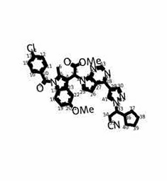 COC(=O)C(c1c(C)n(C(=O)c2ccc(Cl)cc2)c2ccc(OC)cc12)n1ccc2c(-c3cnn(C(CC#N)C4CCCC4)c3)ncnc21